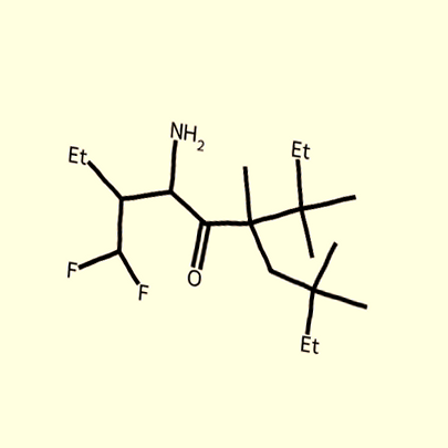 CCC(C(F)F)C(N)C(=O)C(C)(CC(C)(C)CC)C(C)(C)CC